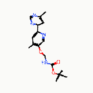 Cc1cc(-c2cc(C)c(OCNC(=O)OC(C)(C)C)cn2)ncn1